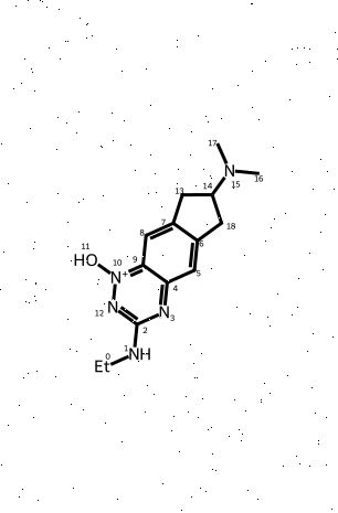 CCNc1nc2cc3c(cc2[n+](O)n1)CC(N(C)C)C3